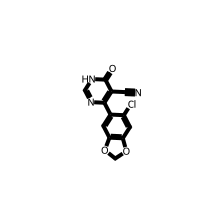 N#Cc1c(-c2cc3c(cc2Cl)OCO3)nc[nH]c1=O